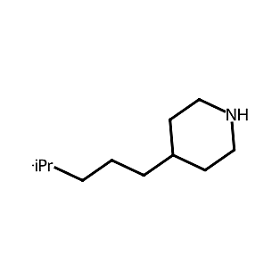 C[C](C)CCCC1CCNCC1